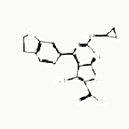 NC(=O)c1sc2nc(NC3CC3)nc(-c3ccc4c(c3)OCC4)c2c1N